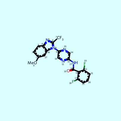 COc1ccc2nc(C(F)(F)F)n(-c3cnc(NC(=O)c4c(F)cccc4F)cn3)c2c1